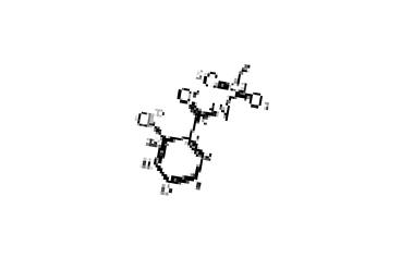 CS(=O)(=O)[N]C(=O)c1ccccc1Cl